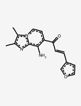 Cc1nc2c(N)c(C(=O)C=Cc3ccoc3)ccn2c1C